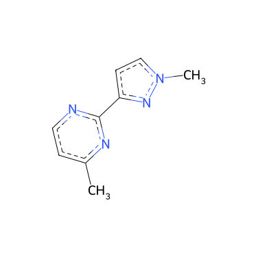 Cc1ccnc(-c2ccn(C)n2)n1